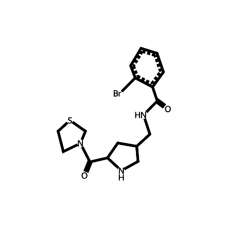 O=C(NCC1CNC(C(=O)N2CCSC2)C1)c1ccccc1Br